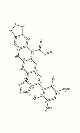 C=CC(=O)Nc1cc2c(cc1Nc1ncc3cc(-c4c(Cl)c(OC)cc(OC)c4Cl)c4nccn4c3n1)CCC2